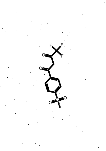 CS(=O)(=O)c1ccc(C(=O)CC(=O)C(F)(F)F)cc1